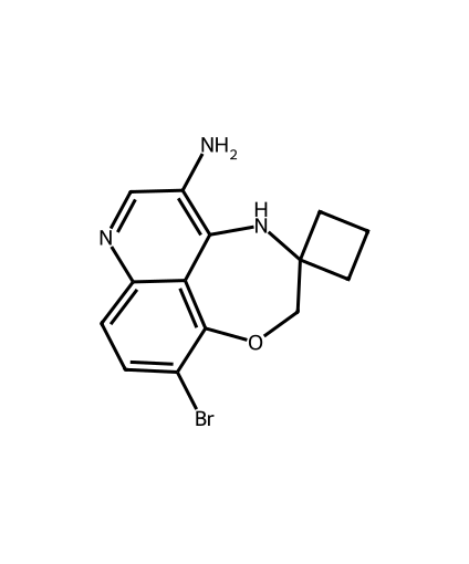 Nc1cnc2ccc(Br)c3c2c1NC1(CCC1)CO3